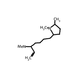 C=CC(CCCCC1CCC(C)N1C)NC